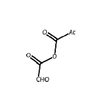 CC(=O)C(=O)OC(=O)C=O